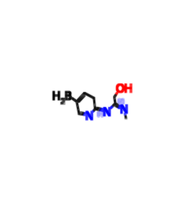 BC1=CC/C(=N\C(CO)=N/C)N=C1